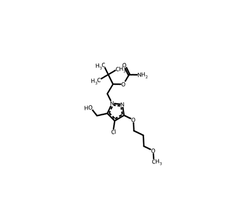 COCCCOc1nn(CC(OC(N)=O)C(C)(C)C)c(CO)c1Cl